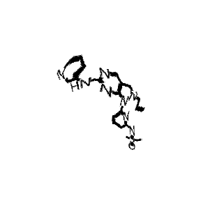 C=CCN1Cc2cnc(Nc3cccnc3)nc2N1c1cccc(N=S(C)(C)=O)n1